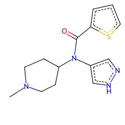 CN1CCC(N(C(=O)c2cccs2)c2cn[nH]c2)CC1